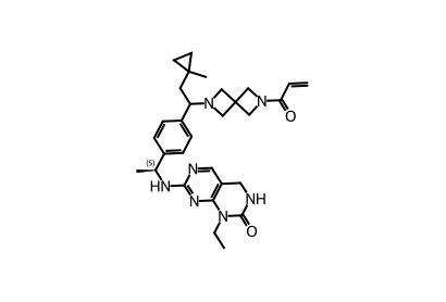 C=CC(=O)N1CC2(C1)CN(C(CC1(C)CC1)c1ccc([C@H](C)Nc3ncc4c(n3)N(CC)C(=O)NC4)cc1)C2